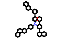 c1ccc(-c2ccc(-c3cccc4ccccc34)cc2N(c2ccc(-c3cccc(-c4ccc5ccccc5c4)c3)cc2)c2ccc(-c3ccc4c(ccc5ccccc54)c3)cc2)cc1